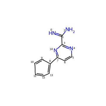 N=C(N)c1nccc(-c2[c]cccc2)n1